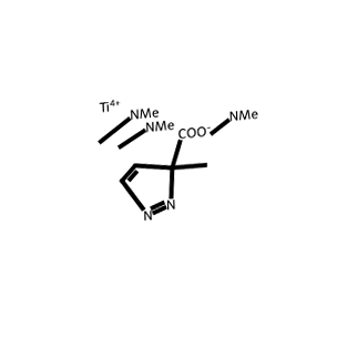 CC1(C(=O)[O-])C=CN=N1.C[N-]C.C[N-]C.C[N-]C.[Ti+4]